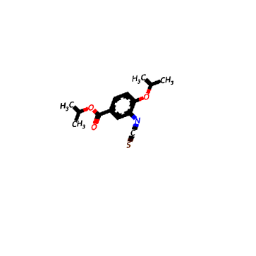 CC(C)OC(=O)c1ccc(OC(C)C)c(N=C=S)c1